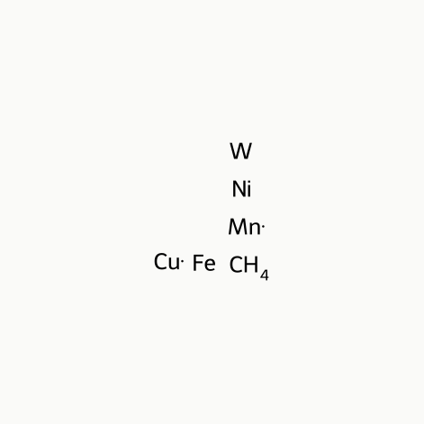 C.[Cu].[Fe].[Mn].[Ni].[W]